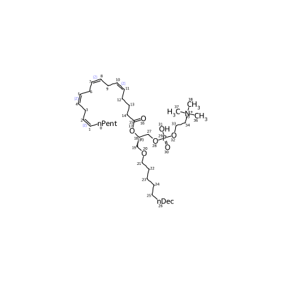 CCCCC/C=C\C/C=C\C/C=C\C/C=C\CCCC(=O)O[C@H](COCCCCCCCCCCCCCCC)COP(=O)(O)OCC[N+](C)(C)C